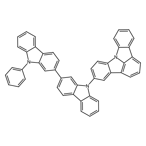 c1ccc(-n2c3ccccc3c3ccc(-c4ccc5c6ccccc6n(-c6ccc7c(c6)c6cccc8c9ccccc9n7c86)c5c4)cc32)cc1